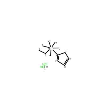 C[CH2][Hf]([CH3])([CH3])([CH3])([CH3])([CH3])[C]1=CC=CC1.Cl.Cl